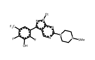 CCn1nc(-c2cc(C(F)(F)F)c(F)c(O)c2F)c2cnc(N3CCN(SC)CC3)nc21